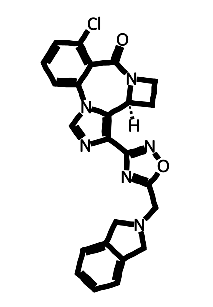 O=C1c2c(Cl)cccc2-n2cnc(-c3noc(CN4Cc5ccccc5C4)n3)c2[C@@H]2CCN12